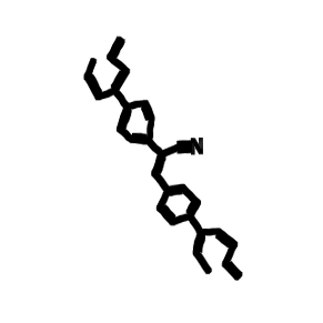 C=C/C=C\C(=C/C)c1ccc(/C=C(\C#N)c2ccc(C(/C=C\C)=C/C=C)cc2)cc1